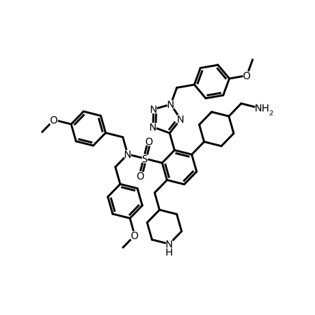 COc1ccc(CN(Cc2ccc(OC)cc2)S(=O)(=O)c2c(CC3CCNCC3)ccc(C3CCC(CN)CC3)c2-c2nnn(Cc3ccc(OC)cc3)n2)cc1